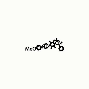 COc1ccc(N2CCN(c3c(C)c(C)c4c(c3C)CC(C)(CN(C)Cc3ccccc3)O4)CC2)cc1